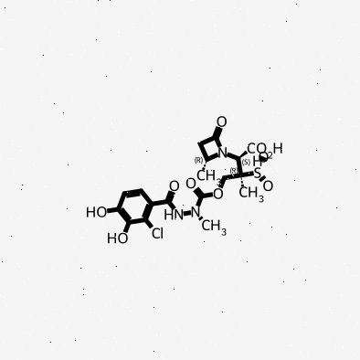 C[C@@H]1CC(=O)N1[C@@H](C(=O)O)[C@](C)(COC(=O)N(C)NC(=O)c1ccc(O)c(O)c1Cl)[SH](=O)=O